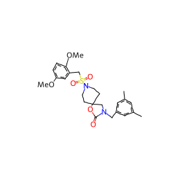 COc1ccc(OC)c(CS(=O)(=O)N2CCC3(CC2)CN(Cc2cc(C)cc(C)c2)C(=O)O3)c1